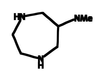 CNC1CNCCNC1